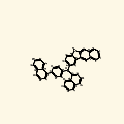 c1ccc2cc3c(cc2c1)oc1ccc(N(c2ccc(-c4cccc5ccccc45)cc2)c2cccc4ccccc24)cc13